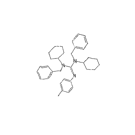 Cc1ccc(N=C(N(Cc2ccccc2)C2CCCCC2)N(Cc2ccccc2)C2CCCCC2)cc1